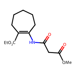 CCOC(=O)C1=C(NC(=O)CC(=O)OC)CCCCC1